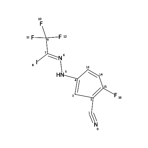 N#Cc1cc(NN=C(I)C(F)(F)F)ccc1F